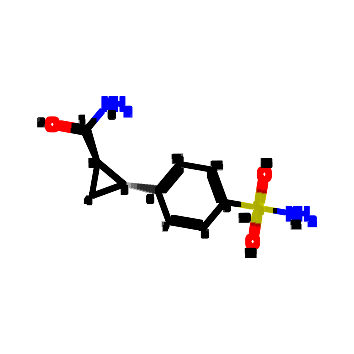 NC(=O)[C@@H]1C[C@H]1c1ccc(S(N)(=O)=O)cc1